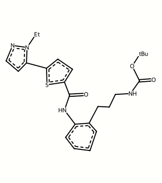 CCn1nccc1-c1ccc(C(=O)Nc2ccccc2CCCNC(=O)OC(C)(C)C)s1